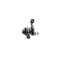 CNC1=NC(CCN2C(NC)=NC(C)N=C2N(C)CCc2ccccc2)N=C(N(C)CCCc2ccccc2)N1C